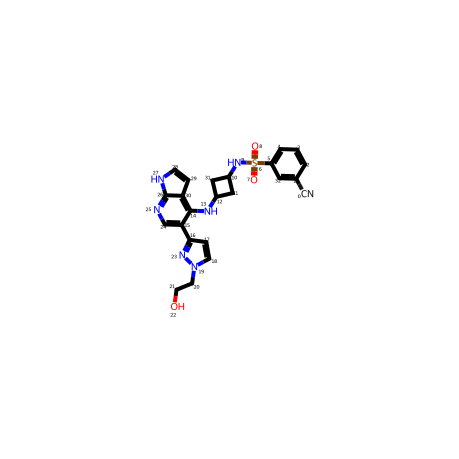 N#Cc1cccc(S(=O)(=O)NC2CC(Nc3c(-c4ccn(CCO)n4)cnc4[nH]ccc34)C2)c1